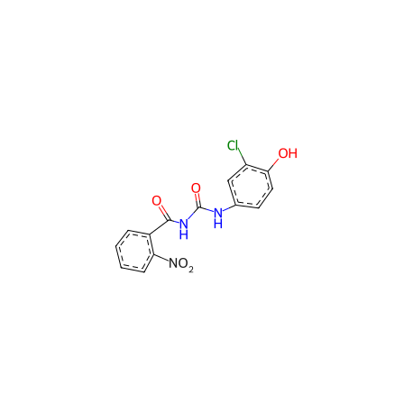 O=C(NC(=O)c1ccccc1[N+](=O)[O-])Nc1ccc(O)c(Cl)c1